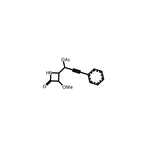 COC1C(=O)NC1C(C#Cc1ccccc1)OC(C)=O